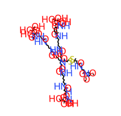 COC[C@H]1C[C@H](OC)CN1C(=O)CCCNC(=O)CCC(C)(C)SSCCC(=O)NC(CCCOC(=O)NCCCCCCNC(=O)CCCOC1OC(CO)C(O)C(O)C1NC(C)=O)(CCCOC(=O)NCCCCCCNC(=O)CCCOC1OC(CO)C(O)C(O)C1NC(C)=O)CCCOC(=O)NCCCCCCNC(=O)CCCOC1OC(CO)C(O)C(O)C1NC(C)=O